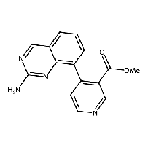 COC(=O)c1cnccc1-c1cccc2cnc(N)nc12